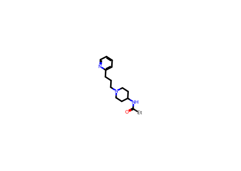 CCC(=O)NC1CCN(CCCc2ccccn2)CC1